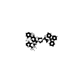 Cc1ccnc(C(C)C)c1-n1c(=O)nc(N2CCN(C(=O)C3C[N@@]3C(c3ccccc3)(c3ccccc3)c3ccccc3)C[C@@H]2C)c2cc(F)c(-c3c(O)cccc3F)nc21